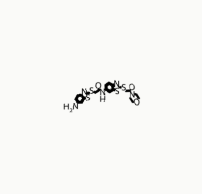 Nc1ccc2nc(SCC(=O)Nc3ccc4nc(SCC(=O)N5CCOCC5)sc4c3)sc2c1